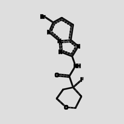 O=C(Nc1nc2ccc(Br)nn2n1)C1(F)CCOCC1